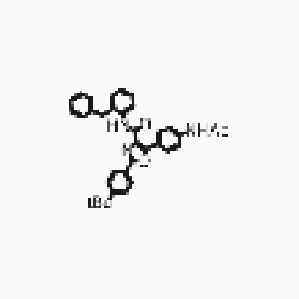 CC(=O)Nc1ccc(-c2oc(-c3ccc(C(C)(C)C)cc3)nc2C(=O)Nc2ccccc2Cc2ccccc2)cc1